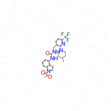 CC1CCN(c2nc(C(F)(F)F)ccc2CNC(=O)Nc2cccc3c2ccn3S(C)(=O)=O)CC1